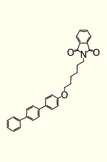 O=C1c2ccccc2C(=O)N1CCCCCCOc1ccc(-c2ccc(-c3ccccc3)cc2)cc1